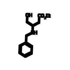 CCOC(=O)CC(CO)NCc1ccccc1